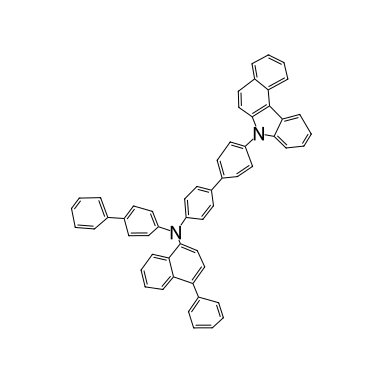 c1ccc(-c2ccc(N(c3ccc(-c4ccc(-n5c6ccccc6c6c7ccccc7ccc65)cc4)cc3)c3ccc(-c4ccccc4)c4ccccc34)cc2)cc1